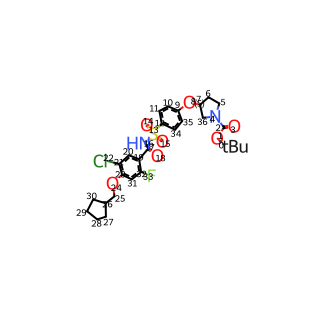 CC(C)(C)OC(=O)N1CC[C@H](Oc2ccc(S(=O)(=O)NC(=O)c3cc(Cl)c(OCC4CCCC4)cc3F)cc2)C1